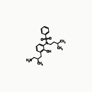 CC(C)CCN(c1cccc(C[C@@H](C)CN)c1O)S(=O)(=O)c1ccccc1